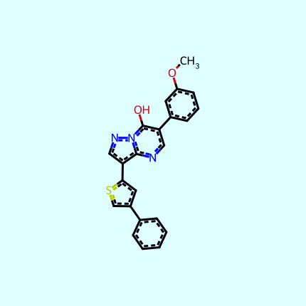 COc1cccc(-c2cnc3c(-c4cc(-c5ccccc5)cs4)cnn3c2O)c1